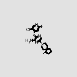 C[C@@H]1CCCC12CCN(c1cnc(Sc3cc(F)ncc3Cl)c(N)n1)CC2